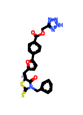 O=C(OCc1nn[nH]n1)c1ccc(-c2ccc(/C=C3/SC(=S)N(Cc4ccccc4)C3=O)o2)cc1